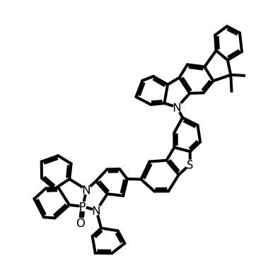 CC1(C)c2ccccc2-c2cc3c4ccccc4n(-c4ccc5sc6ccc(-c7ccc8c(c7)N(c7ccccc7)P(=O)(c7ccccc7)N8c7ccccc7)cc6c5c4)c3cc21